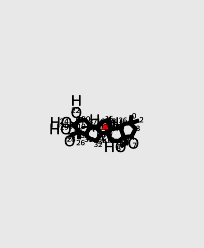 CC1(C)CC[C@]2(C(=O)O)CC[C@]3(CO)C(=CC[C@@H]4[C@@]5(C)C[C@H](O)[C@H](O)C(C)(C(=O)O)C5CC[C@]43C)[C@H]2C1